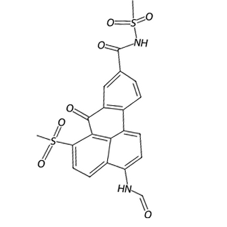 CS(=O)(=O)NC(=O)c1ccc2c(c1)C(=O)c1c(S(C)(=O)=O)ccc3c(NC=O)ccc-2c13